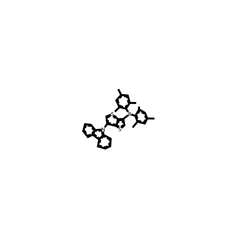 Cc1cc(C)c(B(c2c(C)cc(C)cc2C)c2csc3c(-n4c5ccccc5c5ccccc54)csc23)c(C)c1